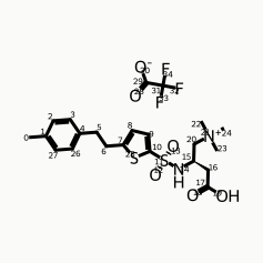 Cc1ccc(CCc2ccc(S(=O)(=O)N[C@H](CC(=O)O)C[N+](C)(C)C)s2)cc1.O=C([O-])C(F)(F)F